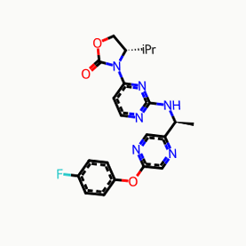 CC(C)[C@H]1COC(=O)N1c1ccnc(N[C@@H](C)c2cnc(Oc3ccc(F)cc3)cn2)n1